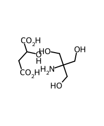 NC(CO)(CO)CO.O=C(O)CC(O)C(=O)O